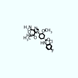 CNC(=O)c1c(C(N)=O)ncn1[C@@H]1CC[C@@H](C(=O)Nc2ccc(F)cc2Cl)C[C@H]1OC